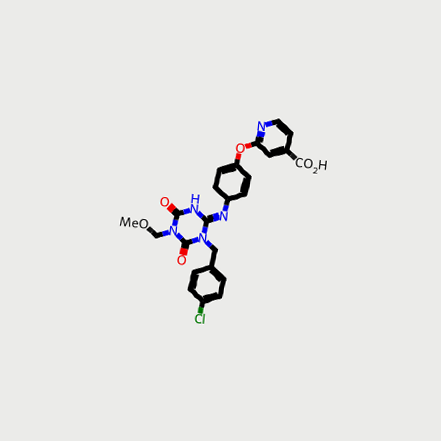 COCn1c(=O)[nH]/c(=N\C2C=CC(Oc3cc(C(=O)O)ccn3)=CC2)n(Cc2ccc(Cl)cc2)c1=O